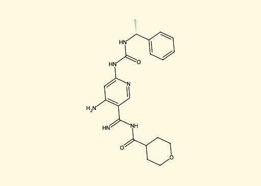 C[C@@H](NC(=O)Nc1cc(N)c(C(=N)NC(=O)C2CCOCC2)cn1)c1ccccc1